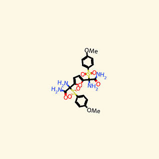 COc1ccc(S(=O)(=O)C(N)(C(N)=O)c2ccc(C(N)(C(N)=O)S(=O)(=O)c3ccc(OC)cc3)o2)cc1